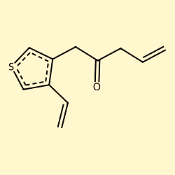 C=CCC(=O)Cc1cscc1C=C